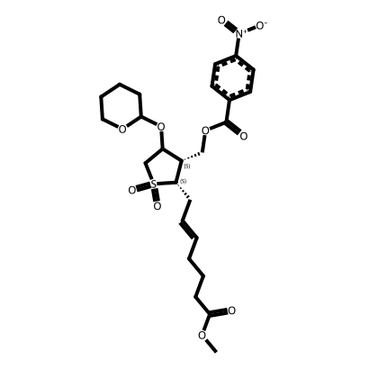 COC(=O)CCCC=CC[C@H]1[C@@H](COC(=O)c2ccc([N+](=O)[O-])cc2)C(OC2CCCCO2)CS1(=O)=O